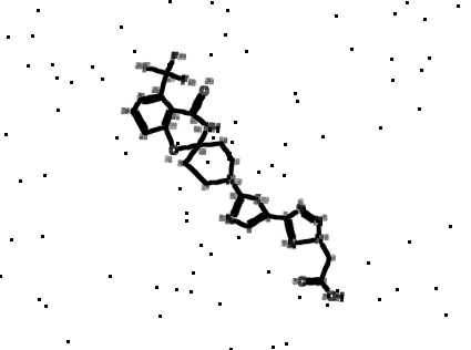 O=C(O)Cn1nnc(-c2cnc(N3CCC4(CC3)NC(=O)c3c(cccc3C(F)(F)F)O4)s2)n1